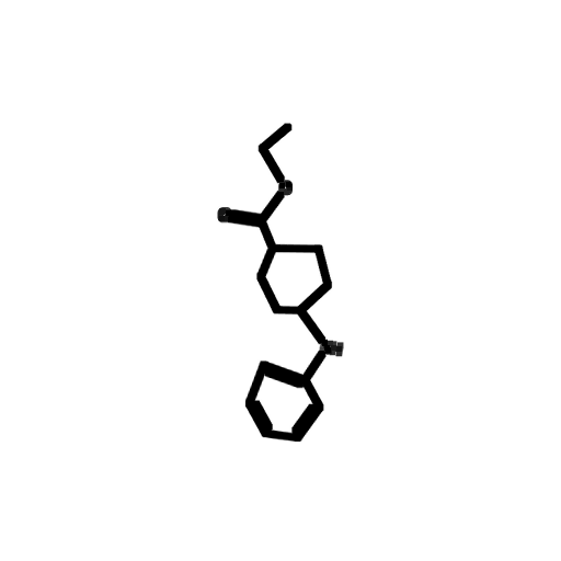 CCOC(=O)C1CCC(Nc2ccccc2)CC1